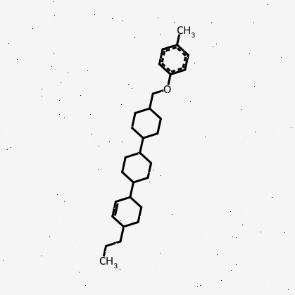 CCCC1C=CC(C2CCC(C3CCC(COc4ccc(C)cc4)CC3)CC2)CC1